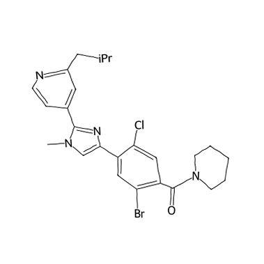 CC(C)Cc1cc(-c2nc(-c3cc(Br)c(C(=O)N4CCCCC4)cc3Cl)cn2C)ccn1